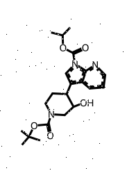 CC(C)OC(=O)n1cc(C2CCN(C(=O)OC(C)(C)C)CC2O)c2cccnc21